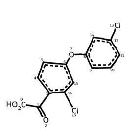 O=C(O)C(=O)c1ccc(Oc2cccc(Cl)c2)cc1Cl